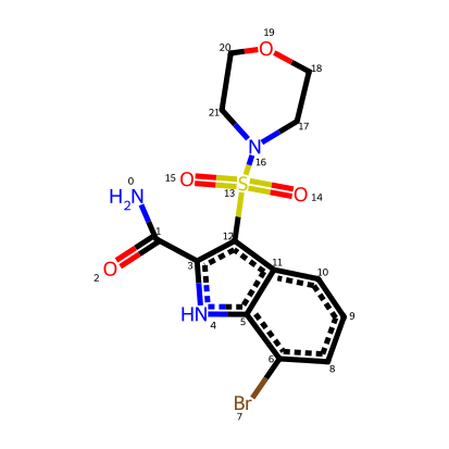 NC(=O)c1[nH]c2c(Br)cccc2c1S(=O)(=O)N1CCOCC1